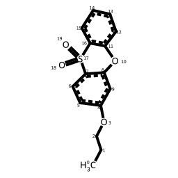 CCCOc1ccc2c(c1)Oc1ccccc1S2(=O)=O